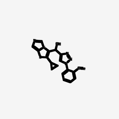 COc1ccccc1-n1cc(C(O)c2c(C3CC3)sc3cncn23)nn1